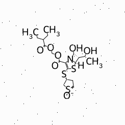 CCC(CC)C(=O)OCOC(=O)C1=C(S[C@H]2CC[S@@+]([O-])C2)S[C@@H]2[C@@H]([C@@H](C)O)C(O)N12